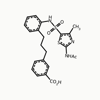 CC(=O)Nc1nc(C)c(S(=O)(=O)Nc2ccccc2CCCc2cccc(C(=O)O)c2)s1